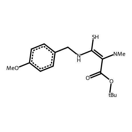 CN/C(C(=O)OC(C)(C)C)=C(\S)NCc1ccc(OC)cc1